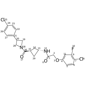 O=C(COc1ccc(Cl)c(F)c1)N[C@H]1C[C@H](C(=O)N2CC(c3ccc(Cl)cc3)C2)C1